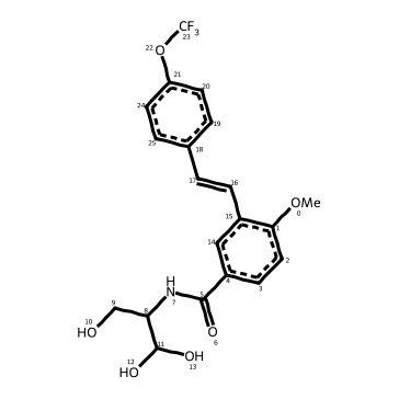 COc1ccc(C(=O)NC(CO)C(O)O)cc1C=Cc1ccc(OC(F)(F)F)cc1